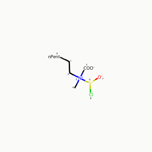 CCCCCCC[N+](C)(C(=O)[O-])[S+]([O-])Cl